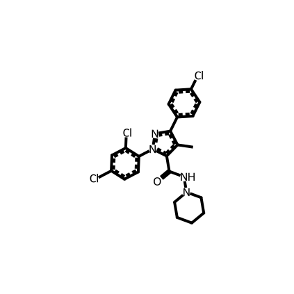 Cc1c(-c2ccc(Cl)cc2)nn(-c2ccc(Cl)cc2Cl)c1C(=O)NN1CCCCC1